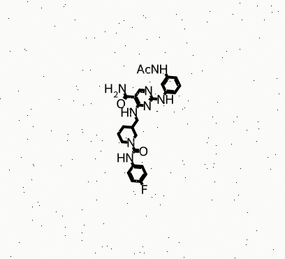 CC(=O)Nc1cccc(Nc2ncc(C(N)=O)c(NCC3CCCN(C(=O)Nc4ccc(F)cc4)C3)n2)c1